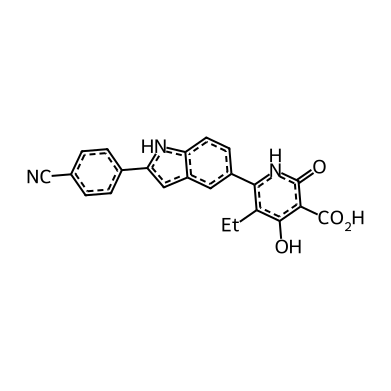 CCc1c(-c2ccc3[nH]c(-c4ccc(C#N)cc4)cc3c2)[nH]c(=O)c(C(=O)O)c1O